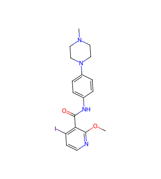 COc1nccc(I)c1C(=O)Nc1ccc(N2CCN(C)CC2)cc1